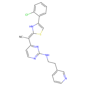 N#C/C(=C1\NC(c2ccccc2Cl)=CS1)c1ccnc(NCCc2cccnc2)n1